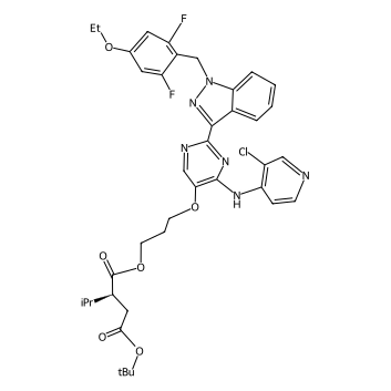 CCOc1cc(F)c(Cn2nc(-c3ncc(OCCCOC(=O)[C@@H](CC(=O)OC(C)(C)C)C(C)C)c(Nc4ccncc4Cl)n3)c3ccccc32)c(F)c1